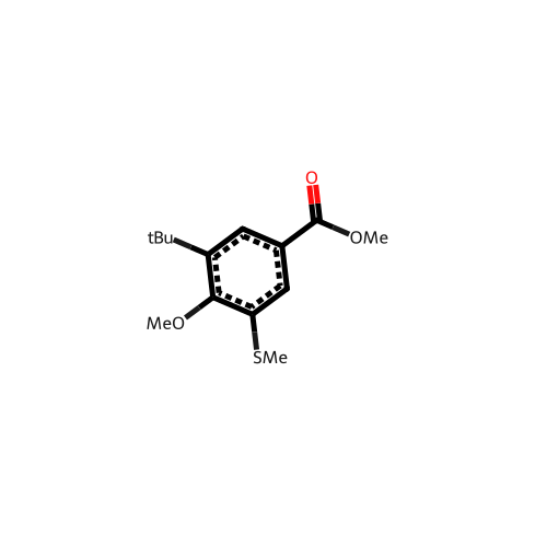 COC(=O)c1cc(SC)c(OC)c(C(C)(C)C)c1